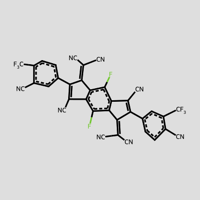 N#CC(C#N)=C1C(c2ccc(C(F)(F)F)c(C#N)c2)=C(C#N)c2c(F)c3c(c(F)c21)C(C#N)=C(c1ccc(C#N)c(C(F)(F)F)c1)C3=C(C#N)C#N